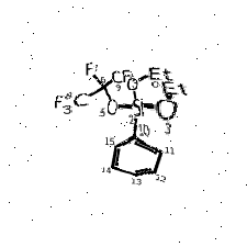 CCO[Si](OCC)(OC(F)(C(F)(F)F)C(F)(F)F)c1ccccc1